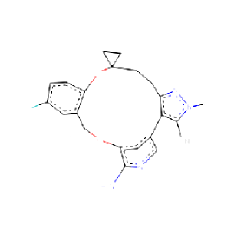 C[C@H]1Oc2cc(cnc2N)-c2c(nn(C)c2C#N)CCC2(CC2)Oc2ccc(F)cc21